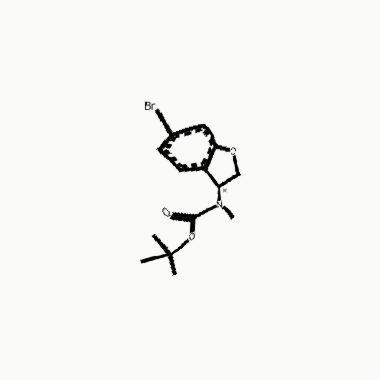 CN(C(=O)OC(C)(C)C)[C@@H]1COc2cc(Br)ccc21